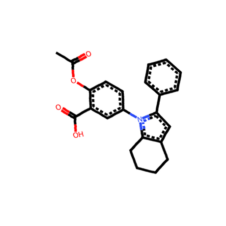 CC(=O)Oc1ccc(-n2c(-c3ccccc3)cc3c2CCCC3)cc1C(=O)O